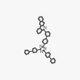 c1ccc(-c2ccc(-c3nc(-c4ccc(-c5ccccc5)cc4)nc(-c4ccc(-c5cccc(-c6nc7cc8ccccc8cc7c7ccccc67)c5)cc4)n3)cc2)cc1